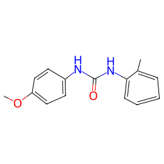 COc1ccc(NC(=O)Nc2ccccc2C)cc1